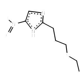 CCSCCCc1ncc([N+](=O)[O-])[nH]1